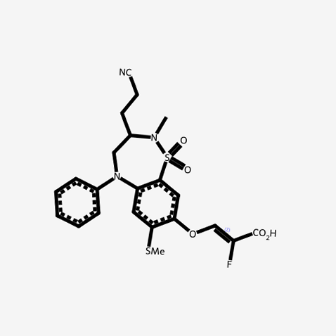 CSc1cc2c(cc1O/C=C(\F)C(=O)O)S(=O)(=O)N(C)C(CCC#N)CN2c1ccccc1